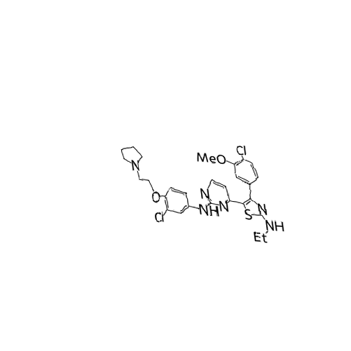 CCNc1nc(-c2ccc(Cl)c(OC)c2)c(-c2ccnc(Nc3ccc(OCCN4CCCC4)c(Cl)c3)n2)s1